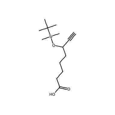 C#CC(CCCCC(=O)O)O[Si](C)(C)C(C)(C)C